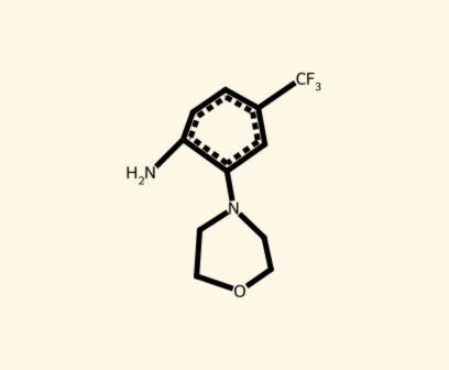 Nc1ccc(C(F)(F)F)cc1N1CCOCC1